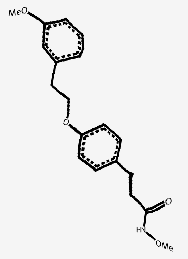 CONC(=O)CCc1ccc(OCCc2cccc(OC)c2)cc1